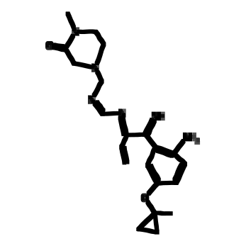 C=C/C(=N\C=N/CN1CCN(C)C(=O)C1)C(=N)c1cc(OC2(C)CC2)ccc1N